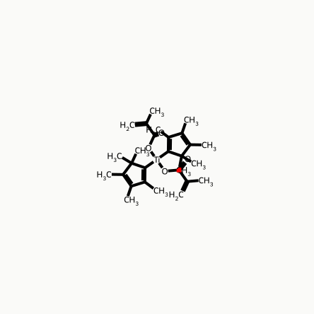 C=C(C)C(=O)[O][Ti]([O]C(=O)C(=C)C)([C]1=C(C)C(C)=C(C)C1(C)C)[C]1=C(C)C(C)=C(C)C1(C)C